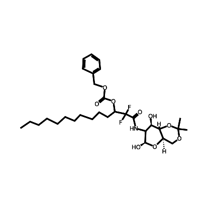 CCCCCCCCCCCC(OC(=O)OCc1ccccc1)C(F)(F)C(=O)NC1[C@H](O)O[C@@H]2COC(C)(C)O[C@H]2[C@@H]1O